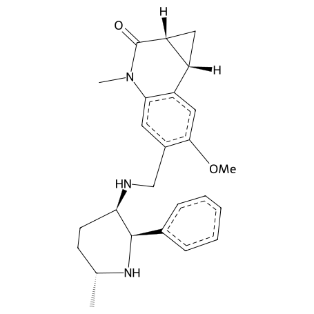 COc1cc2c(cc1CN[C@@H]1CC[C@@H](C)N[C@@H]1c1ccccc1)N(C)C(=O)[C@@H]1C[C@H]21